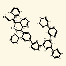 N=C/C(=C1\NC([C@H]2C=CC=CC2)C(c2ccc(-c3cccc(-c4nc(-c5ccccc5)nc(-c5cccc(C6C=CCCC6)c5)n4)c3)cc2)C2C=CC=CC12)c1ccccc1